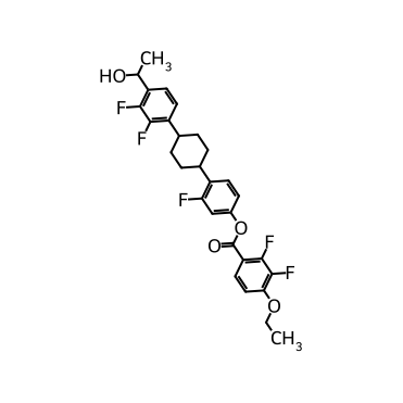 CCOc1ccc(C(=O)Oc2ccc(C3CCC(c4ccc(C(C)O)c(F)c4F)CC3)c(F)c2)c(F)c1F